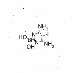 Nc1ncnc(N)c1I.OBO